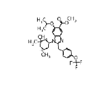 COC(=O)c1cc2nc(Cc3ccc(OC(F)(F)F)cc3)n(C3C[C@H](C)CC(C)(C)C3)c2cc1OC(C)C